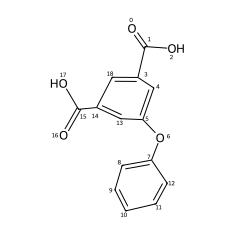 O=C(O)c1cc(Oc2ccccc2)cc(C(=O)O)c1